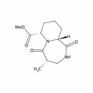 COC(=O)[C@@H]1CCC[C@@H]2C(=O)NC[C@H](C)C(=O)N21